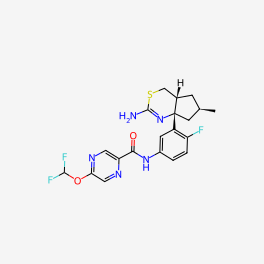 C[C@@H]1C[C@H]2CSC(N)=N[C@@]2(c2cc(NC(=O)c3cnc(OC(F)F)cn3)ccc2F)C1